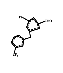 CC(C)c1cc(C=O)cc(Cc2cccc(C(F)(F)F)c2)c1